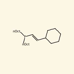 CCCCCCCCP(/C=C/C1CCCCC1)CCCCCCCC